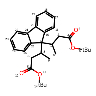 CC(CC(=O)OC(C)(C)C)C1(C(C)CC(=O)OC(C)(C)C)c2ccccc2-c2ccccc21